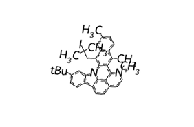 Cc1ccc2c(C)c3c(c(CC(C)(C)I)c2c1)n1c2cc(C(C)(C)C)ccc2c2ccc4cc[n+](C)c3c4c21